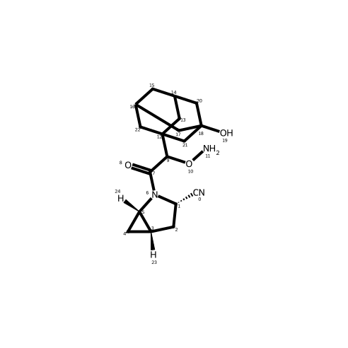 N#C[C@@H]1C[C@@H]2C[C@@H]2N1C(=O)C(ON)C12CC3CC(CC(O)(C3)C1)C2